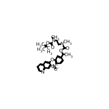 CC(OC(=O)N(C)CCN(C)C(=O)OC(C)(C)C)c1ccc([N+](=O)[O-])c(Oc2ccc3ncccc3c2)c1